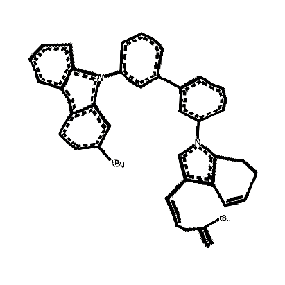 C=C(/C=C\c1cn(-c2cccc(-c3cccc(-n4c5ccccc5c5ccc(C(C)(C)C)cc54)c3)c2)c2c1C=CCC2)C(C)(C)C